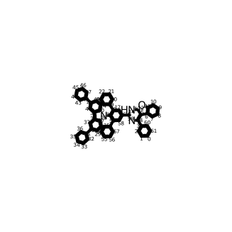 c1ccc(C2=C3c4ccccc4OC3NC(c3cc(-c4ccccc4)c(-n4c5ccc(-c6ccccc6)cc5c5cc(-c6ccccc6)ccc54)c(-c4ccccc4)c3)=N2)cc1